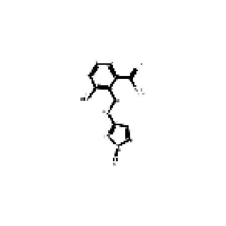 CCCc1cccc(C(N)=O)c1COc1ccn(O)n1